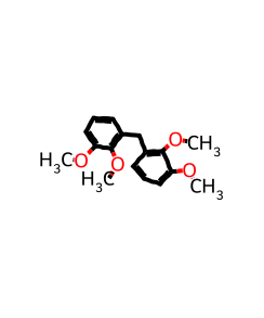 COc1cccc(Cc2cccc(OC)c2OC)c1OC